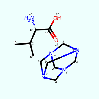 C1N2CN3CN1CN(C2)C3.CC(C)[C@H](N)C(=O)O